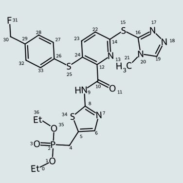 CCOP(=O)(Cc1cnc(NC(=O)c2nc(Sc3nncn3C)ccc2Sc2ccc(CF)cc2)s1)OCC